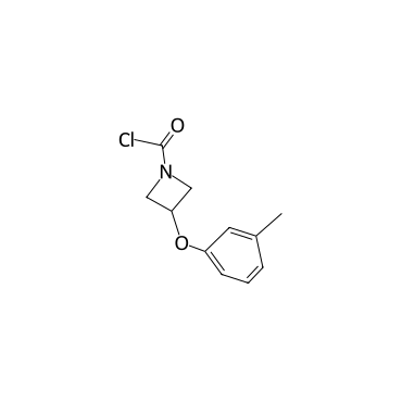 Cc1cccc(OC2CN(C(=O)Cl)C2)c1